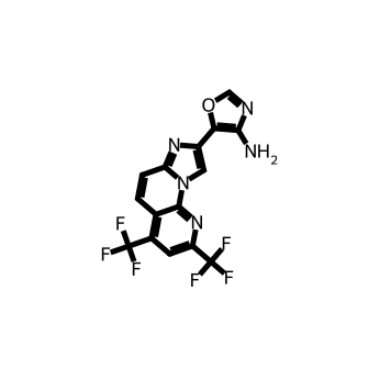 Nc1ncoc1-c1cn2c(ccc3c(C(F)(F)F)cc(C(F)(F)F)nc32)n1